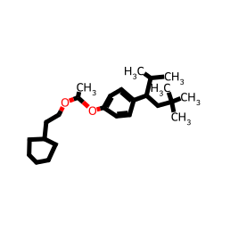 CC(OCCC1CCCCC1)Oc1ccc(C(CC(C)(C)C)C(C)C)cc1